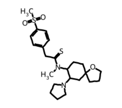 CN(C(=S)Cc1ccc(S(C)(=O)=O)cc1)C1CCC2(CCCO2)CC1N1CCCC1